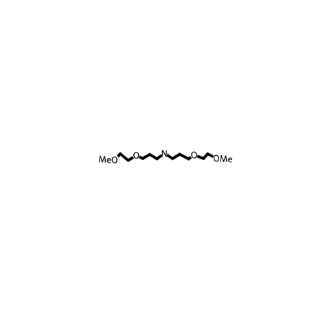 COCCOCCC[N]CCCOCCOC